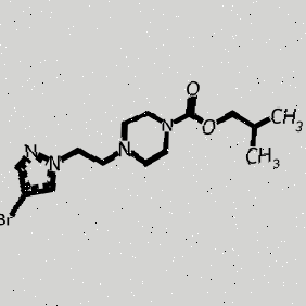 CC(C)COC(=O)N1CCN(CCn2cc(Br)cn2)CC1